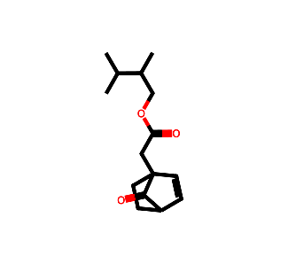 CC(C)C(C)COC(=O)CC12C=CC(CC1)C2=O